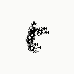 CC(C)=C[C@H]1C[C@](C)(O[C@@H]2OC[C@H](O)[C@H](O)[C@H]2O)[C@@H]2[C@H]3CC[C@@H]4[C@@]5(C)CC[C@H](O[C@@H]6OC[C@H](O)[C@H](O)[C@H]6O)C(C)(C)[C@@H]5CC[C@@]4(C)[C@@]34CO[C@]2(C4)O1